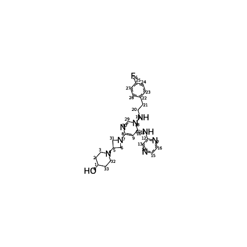 OC1CCN(C2CN(C3=C[C@@H](Nc4cnccn4)N(NCCc4ccc(F)cc4)C=N3)C2)CC1